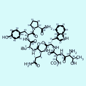 CC[C@H](C)[C@H](NC(=O)[C@H](CCC(N)=O)NC(=O)[C@H](Cc1c[nH]c2ccccc12)NC(=O)[C@H](CC(=O)O)NC(=O)[C@@H](N)[C@@H](C)O)C(=O)N[C@@H](Cc1ccc(O)cc1)C(=O)N1CCC[C@H]1C(N)=O